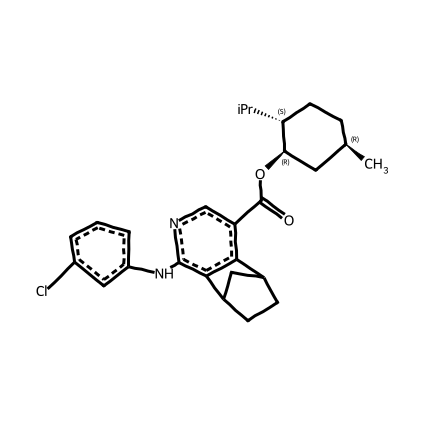 CC(C)[C@@H]1CC[C@@H](C)C[C@H]1OC(=O)c1cnc(Nc2cccc(Cl)c2)c2c1C1CCC2C1